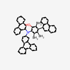 Bc1c(B)c(N(c2ccc3c4ccccc4c4ccccc4c3c2)c2cc3ccccc3c3ccccc23)c(O)c(B)c1-c1cc2ccccc2c2ccccc12